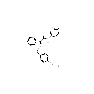 C=S(C)(=O)c1ccc(Cn2nc(C(=O)Nc3ccc(C)nc3)c3ccccc32)cc1